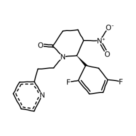 O=C1CCC([N+](=O)[O-])[C@@H](C2CC(F)=CC=C2F)N1CCc1ccccn1